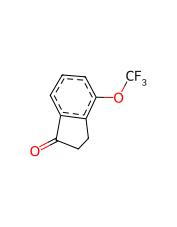 O=C1CCc2c(OC(F)(F)F)cccc21